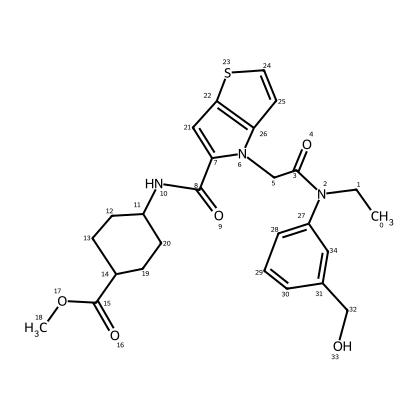 CCN(C(=O)Cn1c(C(=O)NC2CCC(C(=O)OC)CC2)cc2sccc21)c1cccc(CO)c1